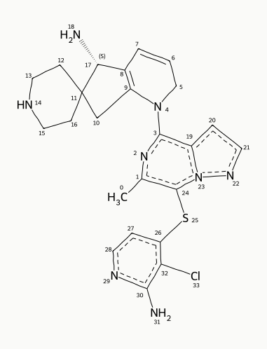 Cc1nc(N2CC=CC3=C2CC2(CCNCC2)[C@@H]3N)c2ccnn2c1Sc1ccnc(N)c1Cl